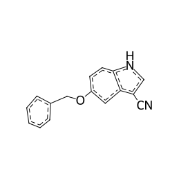 N#Cc1c[nH]c2ccc(OCc3ccccc3)cc12